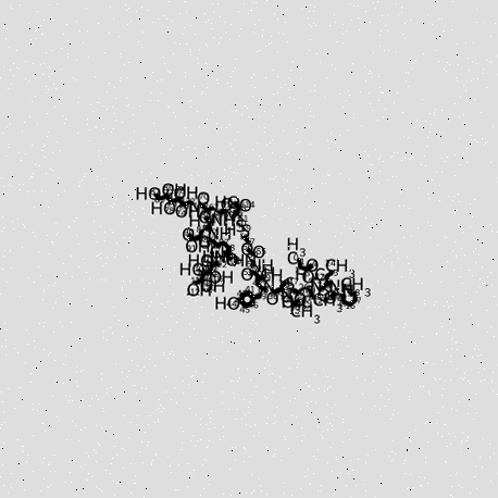 CCCC(=O)OCN(C(=O)[C@@H](NC(=O)[C@H]1CCCCN1C)C(C)CC)[C@H](C[C@@H](OC(C)=O)c1nc(C(=O)N[C@@H](Cc2ccc(O)cc2)C[C@H](C)C(=O)NNC(=O)OCCSSC[C@H](NC(=O)[C@H](CCC(=O)NC[C@H](O)[C@@H](O)[C@H](O)[C@H](O)CO)NC(=O)[C@H](CCC(=O)O)NC(=O)[C@@H](C)CCC(=O)NC[C@H](O)[C@@H](O)[C@H](O)[C@H](O)CO)C(=O)O)cs1)C(C)C